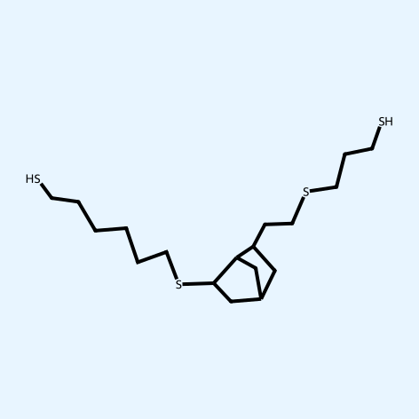 SCCCCCCSC1CC2CC(CCSCCCS)C1C2